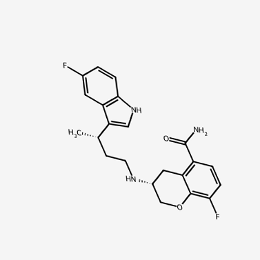 C[C@@H](CCN[C@H]1COc2c(F)ccc(C(N)=O)c2C1)c1c[nH]c2ccc(F)cc12